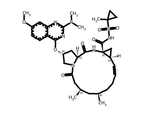 COc1ccc2c(O[C@@H]3C[C@H]4C(=O)N[C@]5(C(=O)NS(=O)(=O)C6(C)CC6)C[C@H]5/C=C\CC[C@@H](C)C[C@@H](C)CC(=O)N4C3)nc(N(C)C)nc2c1